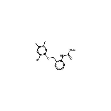 COC(=O)Nc1ccccc1COc1cc(C)c(C)cc1Br